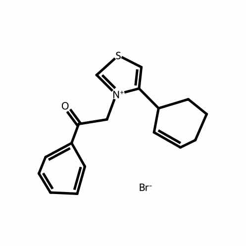 O=C(C[n+]1cscc1C1C=CCCC1)c1ccccc1.[Br-]